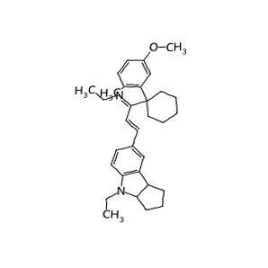 CC/N=C(\C=C\c1ccc2c(c1)C1CCCC1N2CC)C1(c2cc(OC)ccc2C)CCCCC1